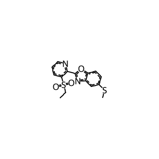 CCS(=O)(=O)c1cccnc1-c1nc2cc(SC)ccc2o1